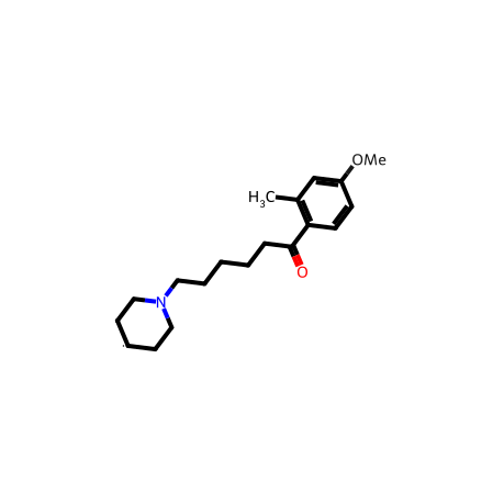 COc1ccc(C(=O)CCCCCN2CC[CH]CC2)c(C)c1